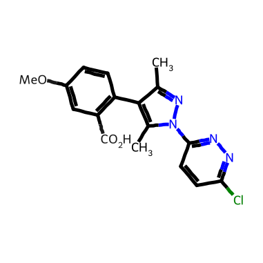 COc1ccc(-c2c(C)nn(-c3ccc(Cl)nn3)c2C)c(C(=O)O)c1